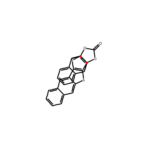 O=C1OC2C3c4ccccc4C(c4c3sc3c4sc4cc5ccccc5cc43)C2O1